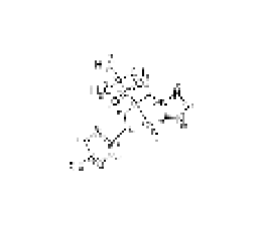 CC(C)(C)S(=O)(=O)C(C#N)(CCc1ccc(Cl)cc1)Cn1cncn1